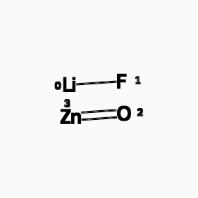 [Li][F].[O]=[Zn]